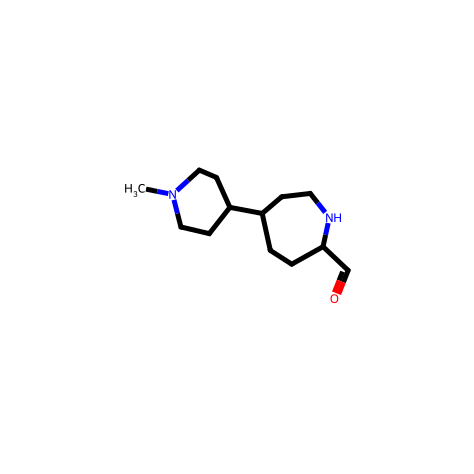 CN1CCC(C2CCNC(C=O)CC2)CC1